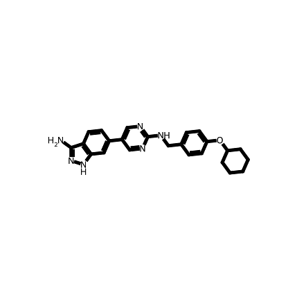 Nc1n[nH]c2cc(-c3cnc(NCc4ccc(OC5CCCCC5)cc4)nc3)ccc12